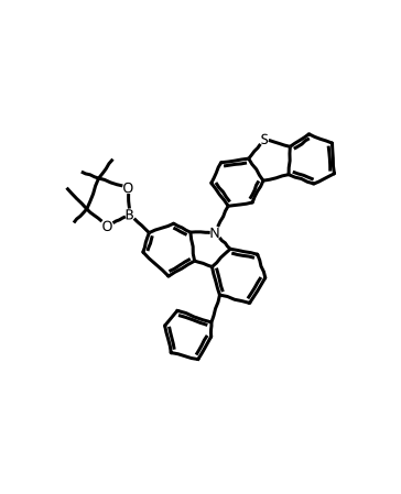 CC1(C)OB(c2ccc3c4c(-c5ccccc5)cccc4n(-c4ccc5sc6ccccc6c5c4)c3c2)OC1(C)C